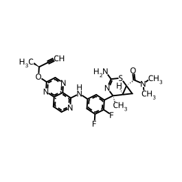 C#C[C@H](C)Oc1cnc2c(Nc3cc(F)c(F)c([C@@]4(C)N=C(N)S[C@@]5(C(=O)N(C)C)C[C@H]54)c3)nccc2n1